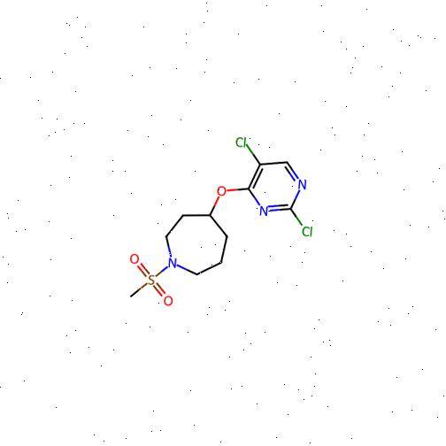 CS(=O)(=O)N1CCCC(Oc2nc(Cl)ncc2Cl)CC1